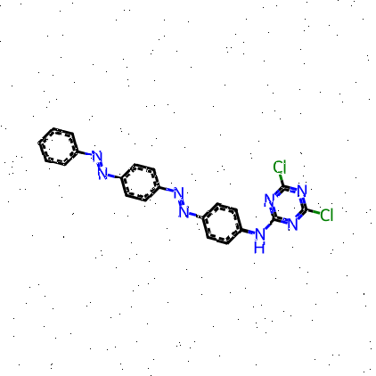 Clc1nc(Cl)nc(Nc2ccc(N=Nc3ccc(N=Nc4ccccc4)cc3)cc2)n1